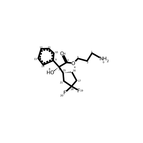 NCCCOC(=O)[C@](O)(c1ccccc1)[C@@H]1CCC(F)(F)C1